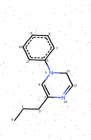 CCCC1=CN(c2ccccc2)CC=N1